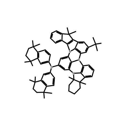 CC(C)(C)c1cc2c3c(c1)c1c(n3-c3cc(N(c4ccc5c(c4)C(C)(C)CCC5(C)C)c4ccc5c(c4)C(C)(C)CCC5(C)C)cc4c3B2c2cccc3c2N4C2(C)CCCCC32C)-c2ccccc2C1(C)C